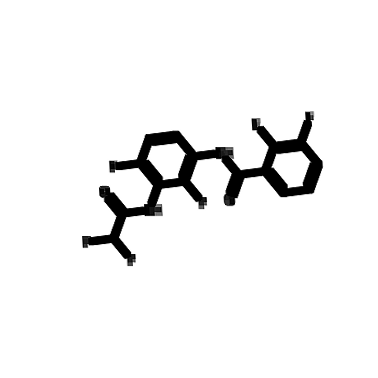 O=C(Nc1ccc(F)c(NC(=O)C(F)F)c1F)c1cccc(F)c1F